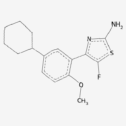 COc1ccc(C2CCCCC2)cc1-c1nc(N)sc1F